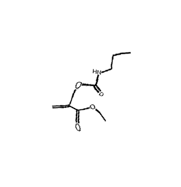 C=C(OC(=O)NCCC)C(=O)OC